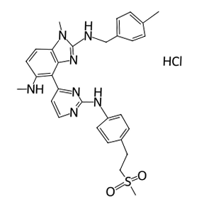 CNc1ccc2c(nc(NCc3ccc(C)cc3)n2C)c1-c1ccnc(Nc2ccc(CCS(C)(=O)=O)cc2)n1.Cl